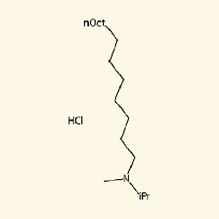 CCCCCCCCCCCCCCCN(C)C(C)C.Cl